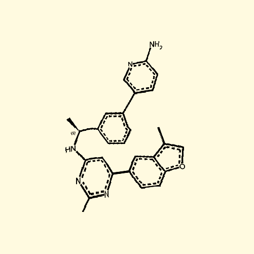 Cc1nc(N[C@@H](C)c2cccc(-c3ccc(N)nc3)c2)cc(-c2ccc3occ(C)c3c2)n1